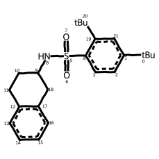 CC(C)(C)c1ccc(S(=O)(=O)NC2CCc3ccccc3C2)c(C(C)(C)C)c1